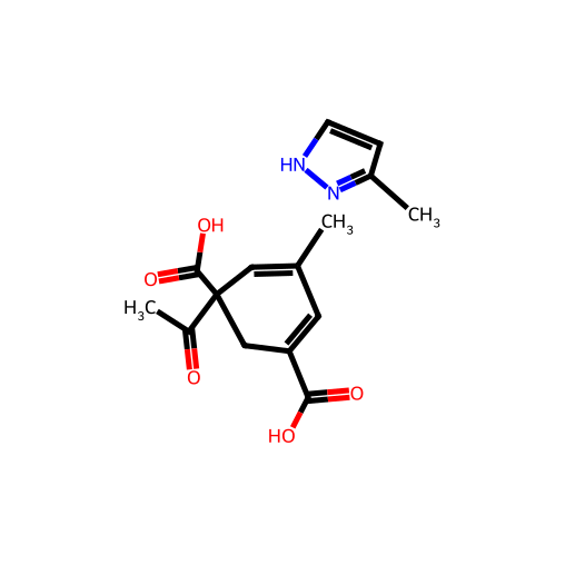 CC(=O)C1(C(=O)O)C=C(C)C=C(C(=O)O)C1.Cc1cc[nH]n1